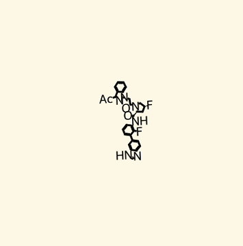 CC(=O)c1nn(CC(=O)N2C[C@H](F)C[C@H]2C(=O)Nc2cccc(-c3ccc4nc[nH]c4c3)c2F)c2ccccc12